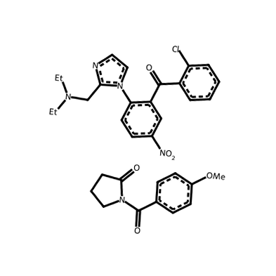 CCN(CC)Cc1nccn1-c1ccc([N+](=O)[O-])cc1C(=O)c1ccccc1Cl.COc1ccc(C(=O)N2CCCC2=O)cc1